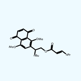 CCC/C=C/C(=O)OCC(CCCC)c1cc(OC)c2c(c1OC)C(=O)C=CC2=O